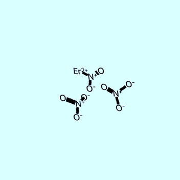 O=[N+]([O-])[Er+2].O=[N+]([O-])[O-].O=[N+]([O-])[O-]